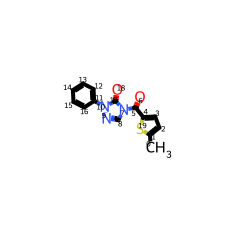 Cc1ccc(C(=O)n2cnn(-c3ccccc3)c2=O)s1